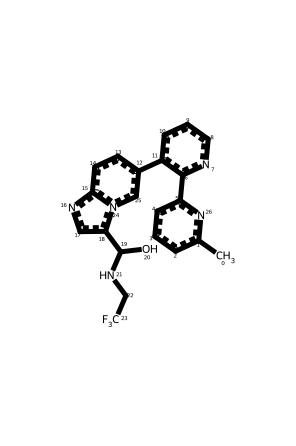 Cc1cccc(-c2ncccc2-c2ccc3ncc(C(O)NCC(F)(F)F)n3c2)n1